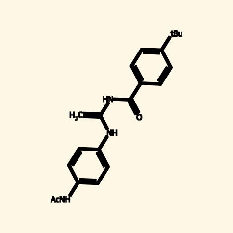 C=C(NC(=O)c1ccc(C(C)(C)C)cc1)Nc1ccc(NC(C)=O)cc1